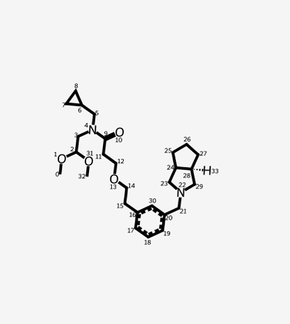 COC(CN(CC1CC1)C(=O)CCOCCc1cccc(CN2CC3CCC[C@H]3C2)c1)OC